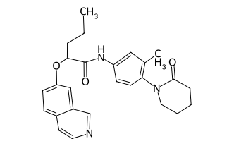 CCCC(Oc1ccc2ccncc2c1)C(=O)Nc1ccc(N2CCCCC2=O)c(C)c1